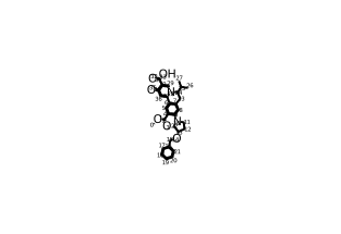 COC(=O)c1cc2c(cc1N1CCC(OCc3ccccc3)C1)CC(C(C)C)n1cc(C(=O)O)c(=O)cc1-2